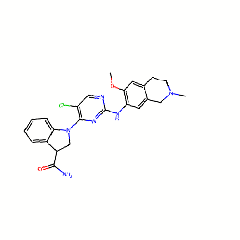 COc1cc2c(cc1Nc1ncc(Cl)c(N3CC(C(N)=O)c4ccccc43)n1)CN(C)CC2